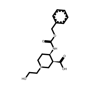 O=C(N[C@@H]1CCN(CCO)C[C@@H]1C(=O)O)OCc1ccccc1